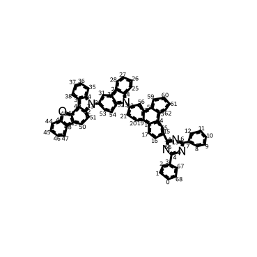 c1ccc(-c2nc(-c3ccccc3)nc(-c3ccc4c5ccc(-n6c7ccccc7c7cc(-n8c9ccccc9c9c%10oc%11ccccc%11c%10ccc98)ccc76)cc5c5ccccc5c4c3)n2)cc1